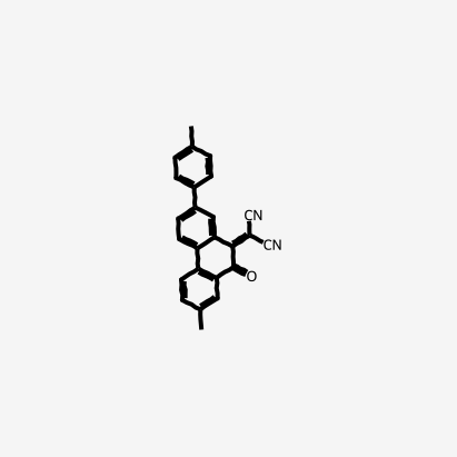 Cc1ccc(-c2ccc3c(c2)C(=C(C#N)C#N)C(=O)c2cc(C)ccc2-3)cc1